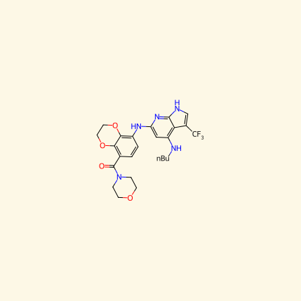 CCCCNc1cc(Nc2ccc(C(=O)N3CCOCC3)c3c2OCCO3)nc2[nH]cc(C(F)(F)F)c12